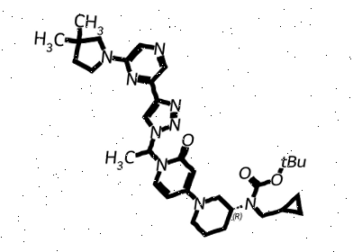 CC(n1cc(-c2cncc(N3CCC(C)(C)C3)n2)nn1)n1ccc(N2CCC[C@@H](N(CC3CC3)C(=O)OC(C)(C)C)C2)cc1=O